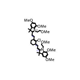 COCCN1/C(=C\C=C2/CCCC(/C=C/C3=[N+](CCOC)c4c(OC)cc(OC)cc4C3(C)C)=C2Cl)C(C)(C)c2cc(OC)cc(OC)c21